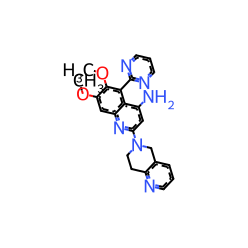 COc1cc2nc(N3CCc4ncccc4C3)cc(N)c2c(-c2ncccn2)c1OC